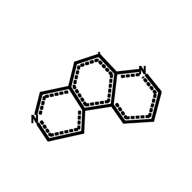 [c]1cc2cnccc2c2cccnc12